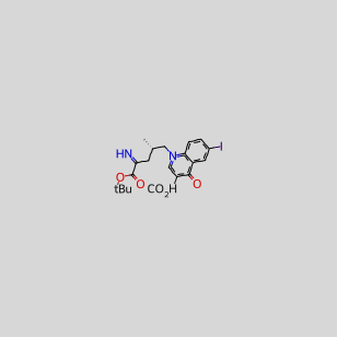 C[C@@H](CC(=N)C(=O)OC(C)(C)C)Cn1cc(C(=O)O)c(=O)c2cc(I)ccc21